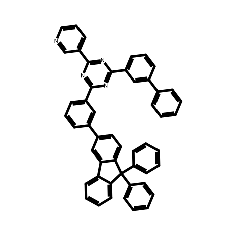 c1ccc(-c2cccc(-c3nc(-c4cccnc4)nc(-c4cccc(-c5ccc6c(c5)-c5ccccc5C6(c5ccccc5)c5ccccc5)c4)n3)c2)cc1